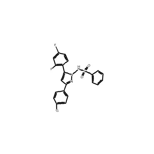 O=S(=O)(Nn1nc(-c2ccc(Cl)cc2)cc1-c1ccc(F)cc1F)c1ccccc1